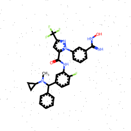 CN(C1CC1)C(c1ccccc1)c1ccc(F)c(NC(=O)c2cc(C(F)(F)F)nn2-c2cccc(C(=N)NO)c2)c1